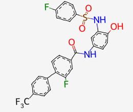 O=C(Nc1ccc(O)c(NS(=O)(=O)c2ccc(F)cc2)c1)c1ccc(-c2ccc(C(F)(F)F)cc2)c(F)c1